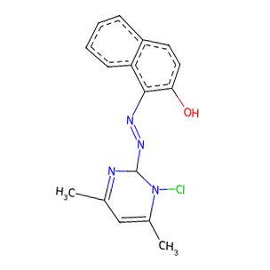 CC1=CC(C)=NC(N=Nc2c(O)ccc3ccccc23)N1Cl